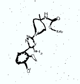 CC1(NC(=O)OC(C)(C)C)CCN(c2nnc(-c3cccc(Cl)c3Cl)c(N)n2)CC1